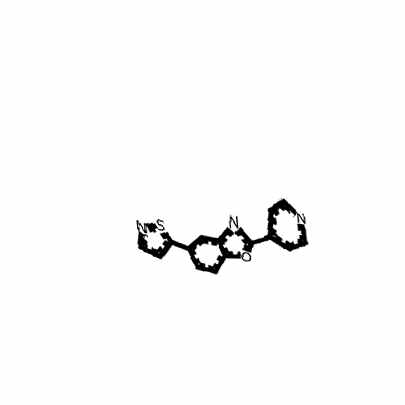 c1cc(-c2nc3cc(-c4ccns4)ccc3o2)ccn1